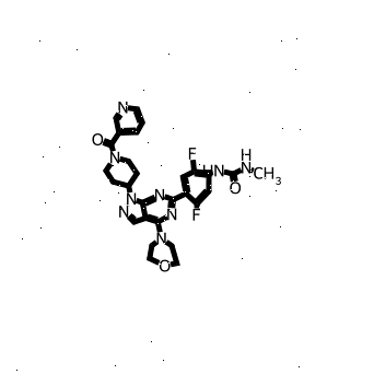 CNC(=O)Nc1cc(F)c(-c2nc(N3CCOCC3)c3cnn(C4CCN(C(=O)c5cccnc5)CC4)c3n2)cc1F